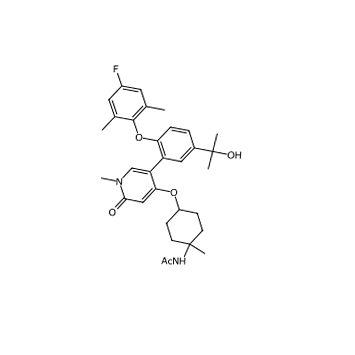 CC(=O)NC1(C)CCC(Oc2cc(=O)n(C)cc2-c2cc(C(C)(C)O)ccc2Oc2c(C)cc(F)cc2C)CC1